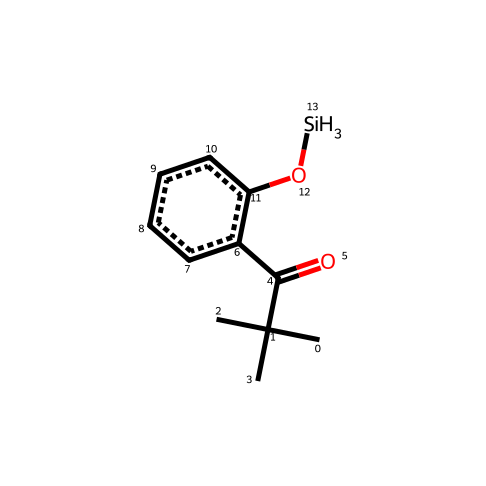 CC(C)(C)C(=O)c1ccccc1O[SiH3]